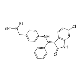 CCCN(CC)Cc1ccc(NC(=C2C(=O)Nc3cc(Cl)ccc32)c2ccccc2)cc1